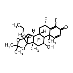 CCOC(=S)[C@@]12OC(C)(C)O[C@@H]1C[C@H]1[C@@H]3C[C@H](F)C4=C(F)C(=O)C=C[C@]4(C)[C@@]3(F)[C@@H](O)C[C@@]12C